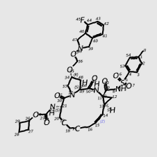 Cc1ccc(S(=O)(=O)NC(=O)[C@@]23C[C@H]2/C=C\CCCCC[C@H](NC(=O)OC2CCC2)C(=O)N2C[C@H](OCON4Cc5cccc(F)c5C4)C[C@H]2C(=O)N3)cc1